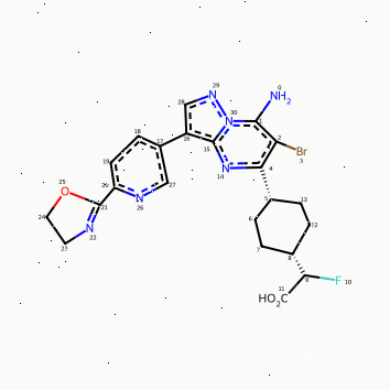 Nc1c(Br)c([C@H]2CC[C@@H](C(F)C(=O)O)CC2)nc2c(-c3ccc(C4=NCCO4)nc3)cnn12